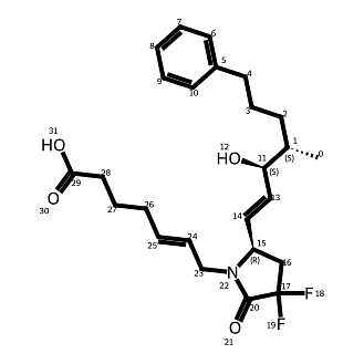 C[C@@H](CCCc1ccccc1)[C@H](O)C=C[C@H]1CC(F)(F)C(=O)N1CC=CCCCC(=O)O